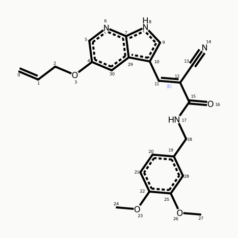 C=CCOc1cnc2[nH]cc(/C=C(\C#N)C(=O)NCc3ccc(OC)c(OC)c3)c2c1